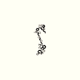 C=C1NC(=O)CCC1N1C(=O)c2cccc(NCCOCCOCCC(=O)N[C@@H]3CC[C@@H](Nc4cc(CCC)nc5ccnn45)C3)c2C1=O